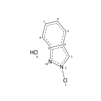 Cl.Cln1cc2ccccc2n1